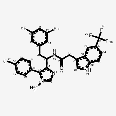 Cn1cnc(C(Cc2cc(F)cc(F)c2)NC(=O)Cc2c[nH]c3ccc(C(F)(F)F)cc23)c1-c1ccc(Cl)cc1